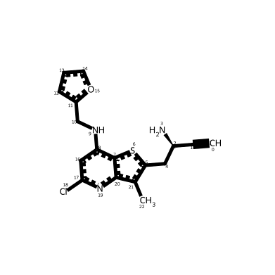 C#C[C@H](N)Cc1sc2c(NCc3ccco3)cc(Cl)nc2c1C